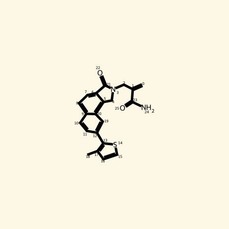 C=C(CN1Cc2c(ccc3ccc(-c4sccc4C)cc23)C1=O)C(N)=O